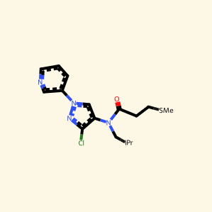 CSCCC(=O)N(CC(C)C)c1cn(-c2cccnc2)nc1Cl